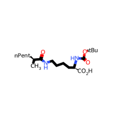 CCCCC[C@H](C)C(=O)NCCCC[C@H](NC(=O)OC(C)(C)C)C(=O)O